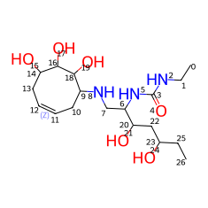 CCNC(=O)NC(CNC1C/C=C\CC(O)C(O)C1O)C(O)CC(O)CC